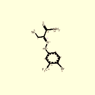 N#CC/C(=N\Nc1ccc(Br)c(C(F)(F)F)c1)C(N)=O